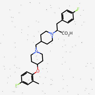 Cc1cc(F)ccc1OC1CCN(CC2CCN([C@@H](Cc3ccc(F)cc3)C(=O)O)CC2)CC1